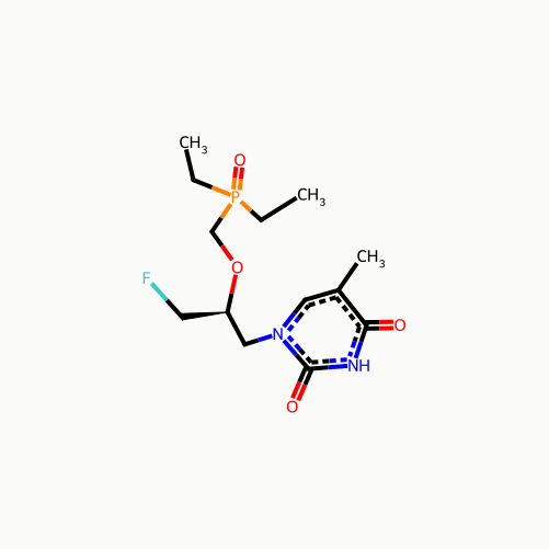 CCP(=O)(CC)CO[C@H](CF)Cn1cc(C)c(=O)[nH]c1=O